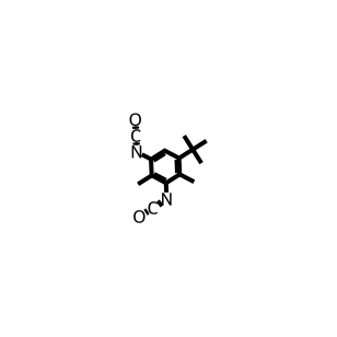 Cc1c(N=C=O)cc(C(C)(C)C)c(C)c1N=C=O